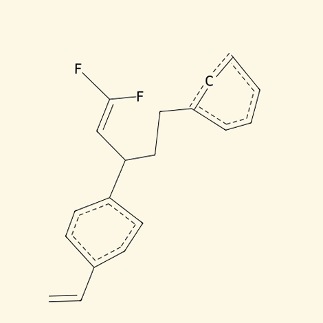 C=Cc1ccc(C(C=C(F)F)CCc2ccccc2)cc1